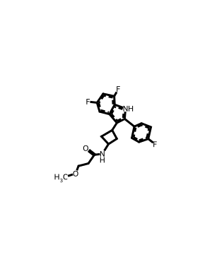 COCCC(=O)NC1CC(c2c(-c3ccc(F)cc3)[nH]c3c(F)cc(F)cc23)C1